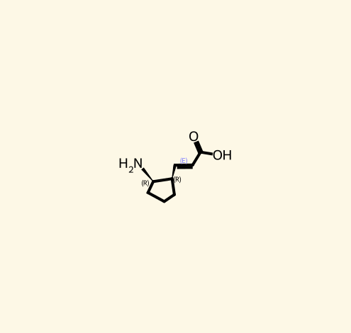 N[C@@H]1CCC[C@@H]1/C=C/C(=O)O